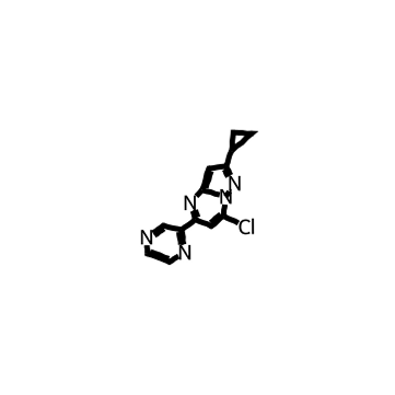 Clc1cc(-c2cnccn2)nc2cc(C3CC3)nn12